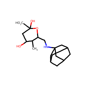 CC1C(O)CC(O)(C(=O)O)OC1CNC12CC3CC(CC(C3)C1)C2